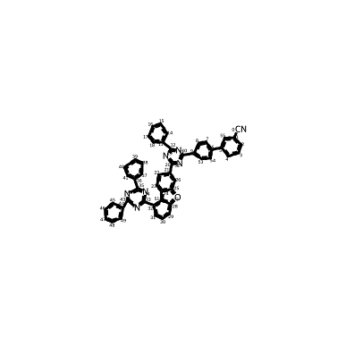 N#Cc1cccc(-c2ccc(-c3nc(-c4ccccc4)nc(-c4ccc5c(c4)oc4cccc(-c6nc(-c7ccccc7)nc(-c7ccccc7)n6)c45)n3)cc2)c1